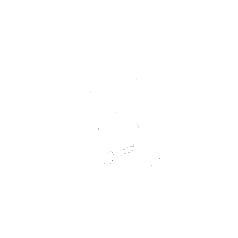 CC1(C)CCC(C)(C)C[SH](O)(=NC(=O)C(F)(F)F)C1